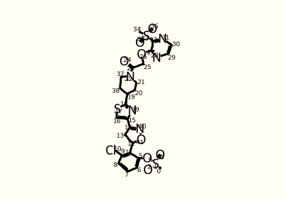 CS(=O)(=O)Oc1cccc(Cl)c1C1CC(c2csc(C3CCN(C(=O)COc4nccnc4S(C)(=O)=O)CC3)n2)=NO1